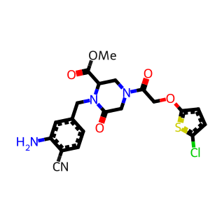 COC(=O)C1CN(C(=O)COc2ccc(Cl)s2)CC(=O)N1Cc1ccc(C#N)c(N)c1